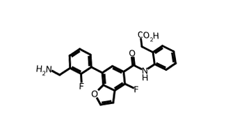 NCc1cccc(-c2cc(C(=O)Nc3ccccc3CC(=O)O)c(F)c3ccoc23)c1F